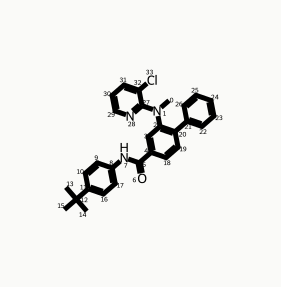 CN(c1cc(C(=O)Nc2ccc(C(C)(C)C)cc2)ccc1-c1ccccc1)c1ncccc1Cl